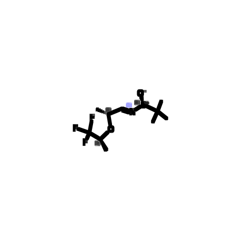 C[C@H](/C=N/[S@@+]([O-])C(C)(C)C)O[C@@H](C)C(F)(F)F